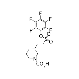 O=C(O)N1CCCC(CCS(=O)(=O)Oc2c(F)c(F)c(F)c(F)c2F)C1